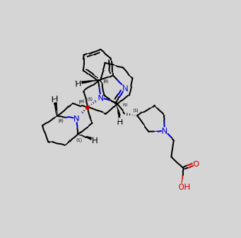 O=C(O)CCN1CC[C@@H](Cc2nc3ccccc3n2[C@H]2C[C@H]3CCC[C@@H](C2)N3[C@@H]2C[C@@H]3CCCC[C@@H](C3)C2)C1